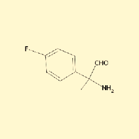 CC(N)(C=O)c1ccc(F)cc1